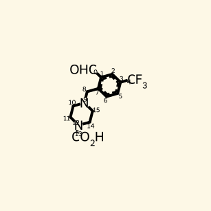 O=Cc1cc(C(F)(F)F)ccc1CN1CCN(C(=O)O)CC1